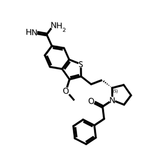 COc1c(CC[C@@H]2CCCN2C(=O)Cc2ccccc2)sc2cc(C(=N)N)ccc12